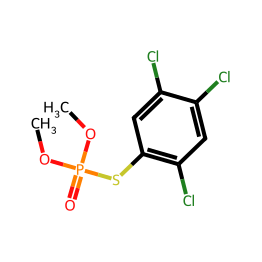 COP(=O)(OC)Sc1cc(Cl)c(Cl)cc1Cl